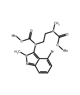 CN(CCN(C(=O)OC(C)(C)C)c1c2c(Br)cccc2nn1C)C(=O)OC(C)(C)C